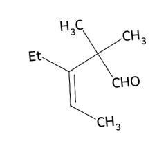 CC=C(CC)C(C)(C)C=O